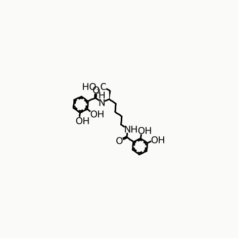 O=C(O)C[C@@H](CCCCNC(=O)c1cccc(O)c1O)NC(=O)c1cccc(O)c1O